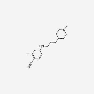 Cc1cc(NCCCC2CCN(C)CC2)ccc1C#N